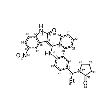 CCC(c1ccc(NC(=C2C(=O)Nc3ccc([N+](=O)[O-])cc32)c2ccccc2)cc1)N1CCCC1=O